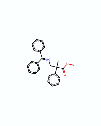 COC(=O)C(C)(CN=C(c1ccccc1)c1ccccc1)c1ccccc1